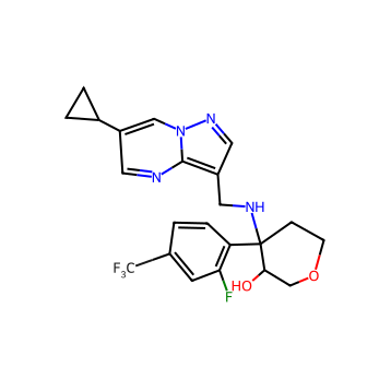 OC1COCCC1(NCc1cnn2cc(C3CC3)cnc12)c1ccc(C(F)(F)F)cc1F